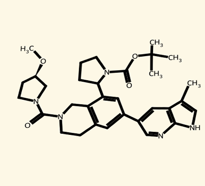 CO[C@@H]1CCN(C(=O)N2CCc3cc(-c4cnc5[nH]cc(C)c5c4)cc(C4CCCN4C(=O)OC(C)(C)C)c3C2)C1